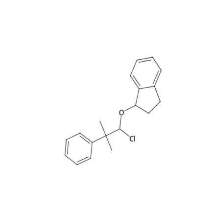 CC(C)(c1ccccc1)C(Cl)OC1CCc2ccccc21